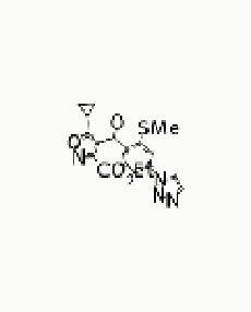 CCOC(=O)c1noc(C2CC2)c1C(=O)c1ccc(-n2ccnn2)cc1SC